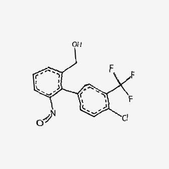 O=Nc1cccc(CO)c1-c1ccc(Cl)c(C(F)(F)F)c1